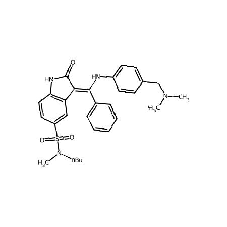 CCCCN(C)S(=O)(=O)c1ccc2c(c1)/C(=C(/Nc1ccc(CN(C)C)cc1)c1ccccc1)C(=O)N2